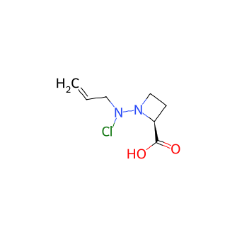 C=CCN(Cl)N1CC[C@H]1C(=O)O